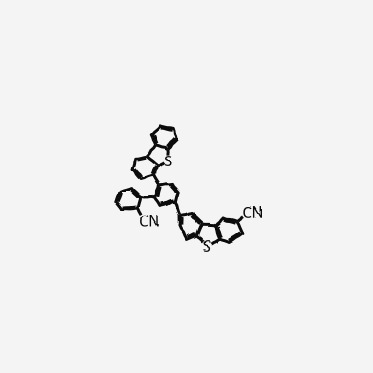 N#Cc1ccc2sc3ccc(-c4ccc(-c5cccc6c5sc5ccccc56)c(-c5ccccc5C#N)c4)cc3c2c1